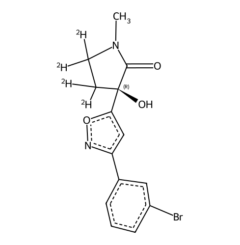 [2H]C1([2H])N(C)C(=O)[C@](O)(c2cc(-c3cccc(Br)c3)no2)C1([2H])[2H]